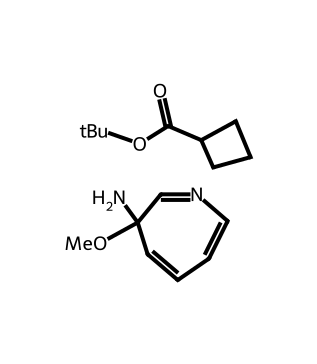 CC(C)(C)OC(=O)C1CCC1.COC1(N)C=CC=CN=C1